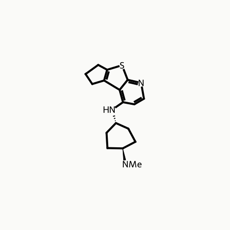 CN[C@H]1CC[C@H](Nc2ccnc3sc4c(c23)CCC4)CC1